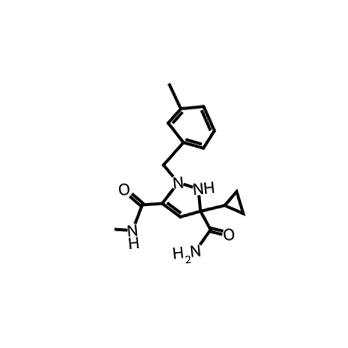 CNC(=O)C1=CC(C(N)=O)(C2CC2)NN1Cc1cccc(C)c1